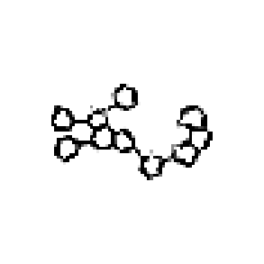 c1ccc(-c2cc3cc(-c4cccc(-c5ccc6ccc7cccnc7c6n5)n4)ccc3c3c2c(-c2ccccc2)nn3-c2ccccc2)cc1